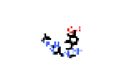 Cc1cnn(-c2ncc(CN3CCNC(c4ccc5c(c4C)COC5=O)C3)cn2)c1